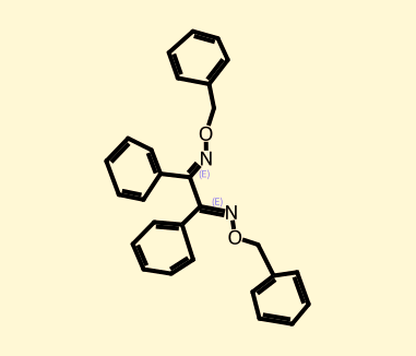 c1ccc(CO/N=C(/C(=N/OCc2ccccc2)c2ccccc2)c2ccccc2)cc1